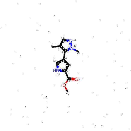 COC(=O)c1cc(-c2c(C)cnn2C)c[nH]1